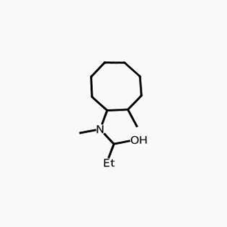 CCC(O)N(C)C1CCCCCCC1C